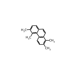 Cc1ccc2c(ccc3ccc(C)c(C)c32)c1C